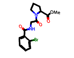 COC(=O)C1CCCN1C(=O)CNC(=O)c1ccccc1Br